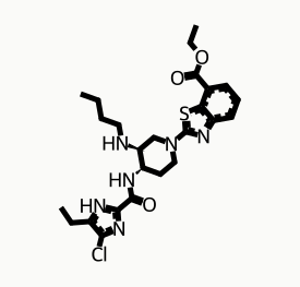 CCCCN[C@H]1CN(c2nc3cccc(C(=O)OCC)c3s2)CC[C@@H]1NC(=O)c1nc(Cl)c(CC)[nH]1